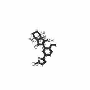 CCc1ccc(-c2ccc(Cl)s2)cc1C1=C(O)[C@H]2[C@@H](C1=O)[C@]1(C)CC[C@@]2(C)O1